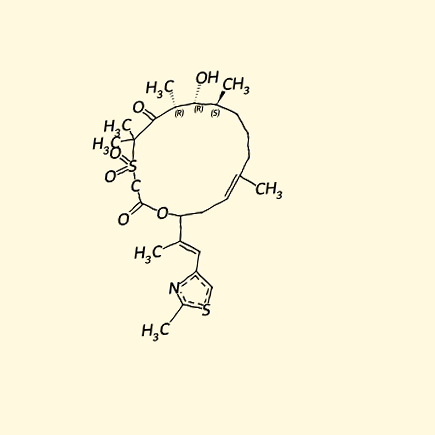 CC1=CCC(C(C)=Cc2csc(C)n2)OC(=O)CS(=O)(=O)C(C)(C)C(=O)[C@H](C)[C@H](O)[C@@H](C)CCC1